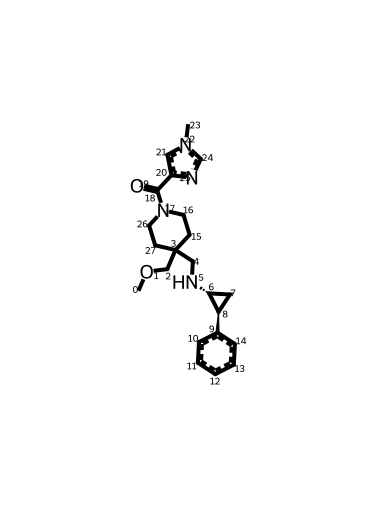 COCC1(CN[C@@H]2C[C@H]2c2ccccc2)CCN(C(=O)c2cn(C)cn2)CC1